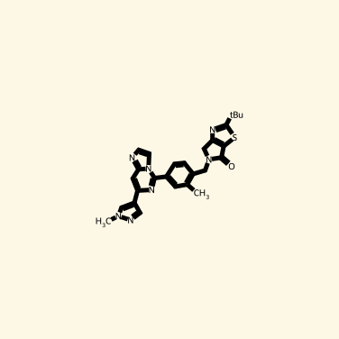 Cc1cc(-c2nc(-c3cnn(C)c3)cc3nccn23)ccc1CN1Cc2nc(C(C)(C)C)sc2C1=O